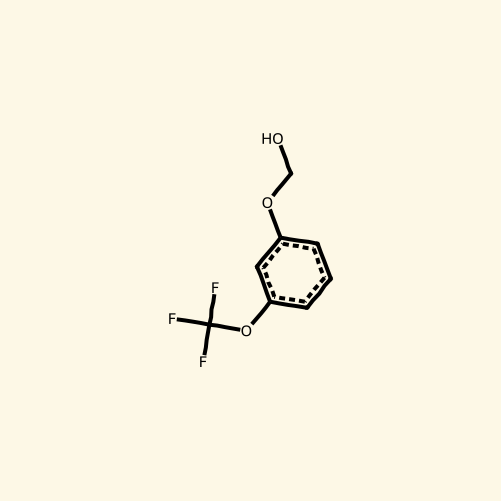 OCOc1cccc(OC(F)(F)F)c1